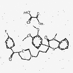 COc1ccc(C2(CCCN3CCC(C(=O)c4ccc(F)cc4)CC3)Sc3ccccc3N(C)C2=O)cc1OC.O=C(O)C(=O)O